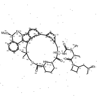 CCN(C)CC1CCN1C(=O)N(C)[C@H](C(=O)N[Si@H]1Cc2nc(cs2)-c2ccc3c(c2)c(c(-c2cccnc2[C@H](C)OC)n3CC)CC(C)(C)COC(=O)[C@@H]2CCCN(N2)C1=O)C(C)C